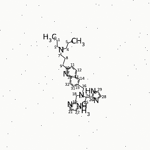 CCCN(CCC)CCCc1ccc2cc(CN(Cc3ncc[nH]3)C(C)c3ncc[nH]3)ccc2n1